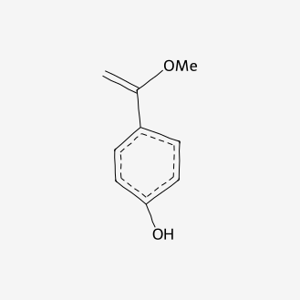 C=C(OC)c1ccc(O)cc1